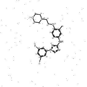 Cc1cc(Nc2ncn(-c3cc(F)cc(F)c3)n2)ccc1OCCN1CCOCC1